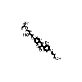 CCc1cc(OCCCO)ccc1C1=CC2C=CC(OCC(O)CCOC(C)C(C)C)=CC2SC1=O